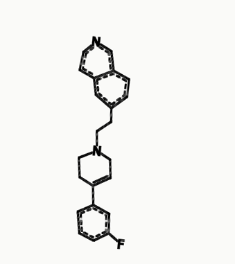 Fc1cccc(C2=CCN(CCc3ccc4cnccc4c3)CC2)c1